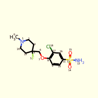 CN1CCC(F)(COc2ccc(S(N)(=O)=O)cc2Cl)CC1